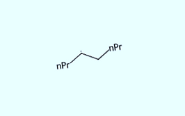 [CH2]CCC[CH]CCC